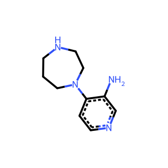 Nc1cnccc1N1CCCNCC1